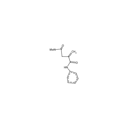 C=C(CC(=O)NC)C(=O)Nc1ccccc1